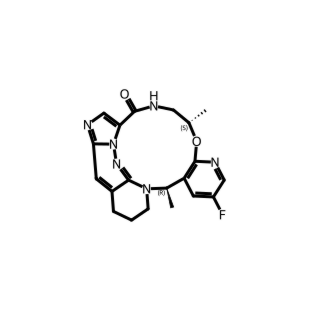 C[C@@H]1c2cc(F)cnc2O[C@@H](C)CNC(=O)c2cnc3cc4c(nn23)N1CCC4